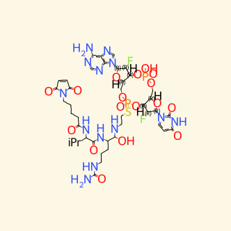 CC(C)C(NC(=O)CCCCN1C(=O)C=CC1=O)C(=O)NC(CCCNC(N)=O)C(O)NCCSP1(=O)OC[C@H]2O[C@@H](n3cnc4c(N)ncnc43)[C@H](F)[C@@H]2OP(=O)(O)OC[C@H]2O[C@@H](n3ccc(=O)[nH]c3=O)[C@H](F)[C@@H]2O1